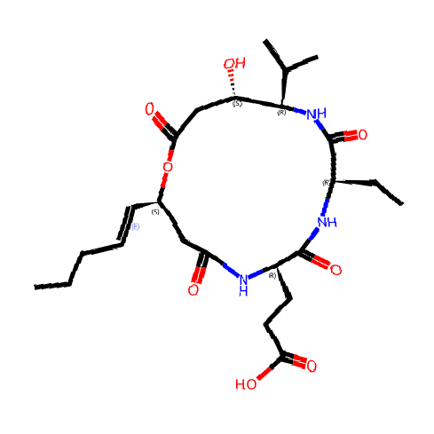 CCC/C=C/[C@@H]1CC(=O)N[C@H](CCC(=O)O)C(=O)N[C@H](CC)C(=O)N[C@H](C(C)C)[C@@H](O)CC(=O)O1